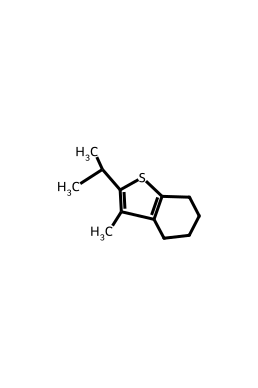 Cc1c(C(C)C)sc2c1CCCC2